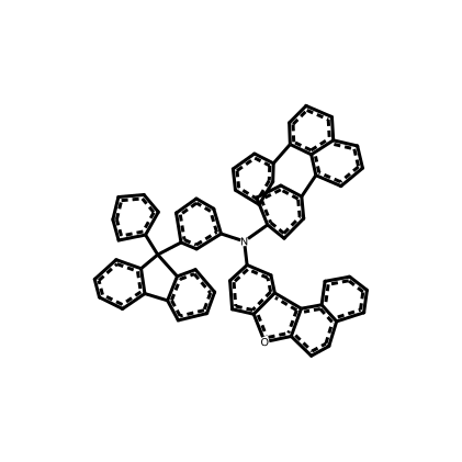 c1ccc(-c2cccc3cccc(-c4ccc(N(c5cccc(C6(c7ccccc7)c7ccccc7-c7ccccc76)c5)c5ccc6oc7ccc8ccccc8c7c6c5)cc4)c23)cc1